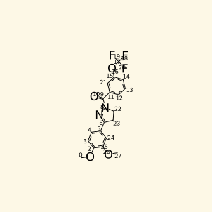 COc1ccc(C2=NN(C(=O)c3cccc(OC(F)(F)F)c3)CC2)cc1OC